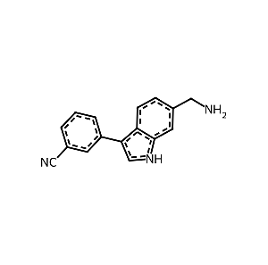 N#Cc1cccc(-c2c[nH]c3cc(CN)ccc23)c1